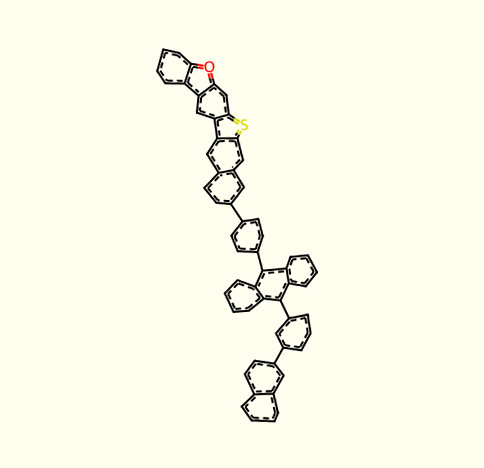 c1cc(-c2ccc3ccccc3c2)cc(-c2c3ccccc3c(-c3ccc(-c4ccc5cc6c(cc5c4)sc4cc5oc7ccccc7c5cc46)cc3)c3ccccc23)c1